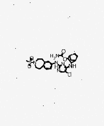 CS(=O)(=O)N1CCc2ccc(Nc3ncc(Cl)c(NC4C5C=CC(C5)C4OC(N)=O)n3)cc2CC1